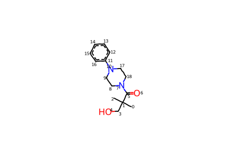 CC(C)(CO)C(=O)N1CCN(c2ccccc2)CC1